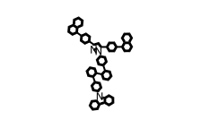 c1ccc(-c2ccccc2-c2ccc(-n3c4ccccc4c4ccccc43)cc2)c(-c2ccc(-n3nc(-c4ccc(-c5cccc6ccccc56)cc4)cc3-c3ccc(-c4cccc5ccccc45)cc3)cc2)c1